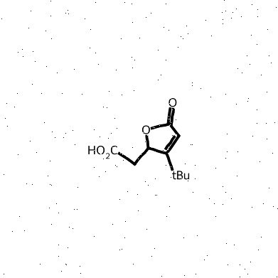 CC(C)(C)C1=CC(=O)OC1CC(=O)O